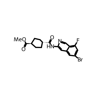 COC(=O)[C@H]1CC[C@H](C(=O)Nc2cc3cc(Br)cc(F)c3cn2)CC1